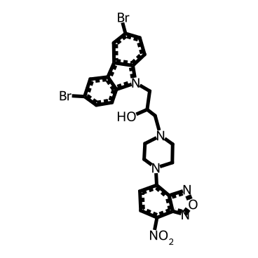 O=[N+]([O-])c1ccc(N2CCN(CC(O)Cn3c4ccc(Br)cc4c4cc(Br)ccc43)CC2)c2nonc12